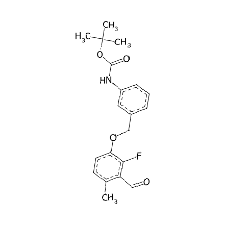 Cc1ccc(OCc2cccc(NC(=O)OC(C)(C)C)c2)c(F)c1C=O